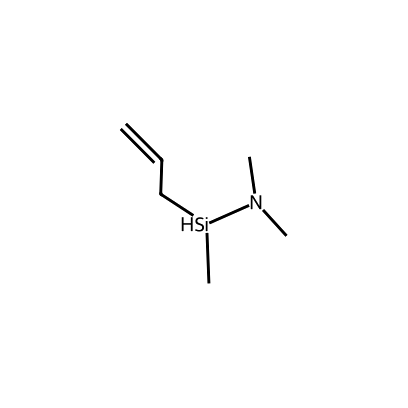 C=CC[SiH](C)N(C)C